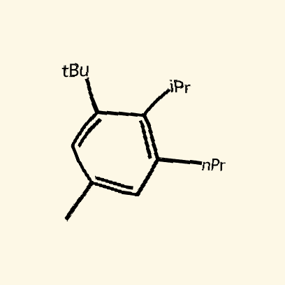 CCCc1cc(C)cc(C(C)(C)C)c1C(C)C